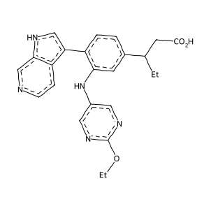 CCOc1ncc(Nc2cc(C(CC)CC(=O)O)ccc2-c2c[nH]c3cnccc23)cn1